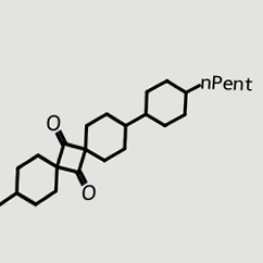 CCCCCC1CCC(C2CCC3(CC2)C(=O)C2(CCC(C)CC2)C3=O)CC1